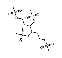 CS(=O)(=O)OCCC(OS(C)(=O)=O)C(CCOS(C)(=O)=O)OS(C)(=O)=O